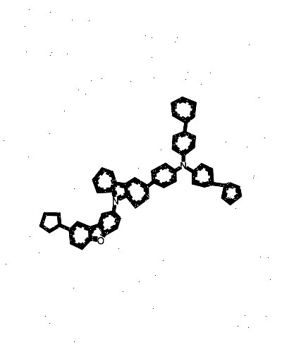 c1ccc(-c2ccc(N(c3ccc(-c4ccccc4)cc3)c3ccc(-c4ccc5c(c4)c4ccccc4n5-c4ccc5oc6ccc(C7CCCC7)cc6c5c4)cc3)cc2)cc1